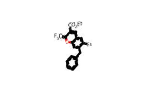 CCOC(=O)C1=Cc2cc(CC)c(Cc3ccccc3)cc2OC1C(F)(F)F